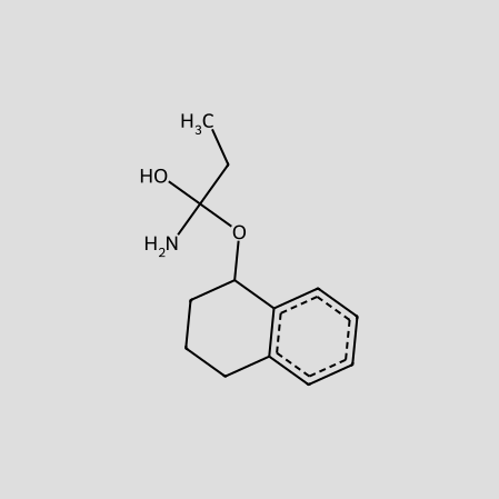 CCC(N)(O)OC1CCCc2ccccc21